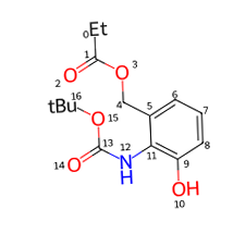 CCC(=O)OCc1cccc(O)c1NC(=O)OC(C)(C)C